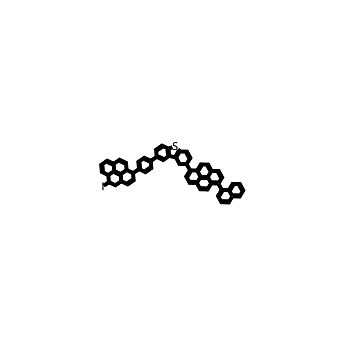 IC1CC2C=CC(c3ccc(-c4ccc5sc6c(c5c4)CC(c4ccc5ccc7c(-c8cccc9ccccc89)ccc8ccc4c5c87)C=C6)cc3)C3C=CC4=CC=CC1C4=C23